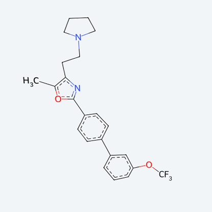 Cc1oc(-c2ccc(-c3cccc(OC(F)(F)F)c3)cc2)nc1CCN1CCCC1